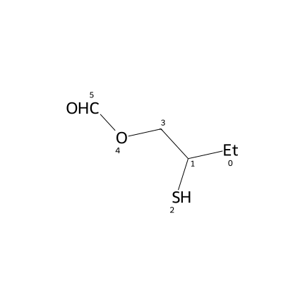 CCC(S)COC=O